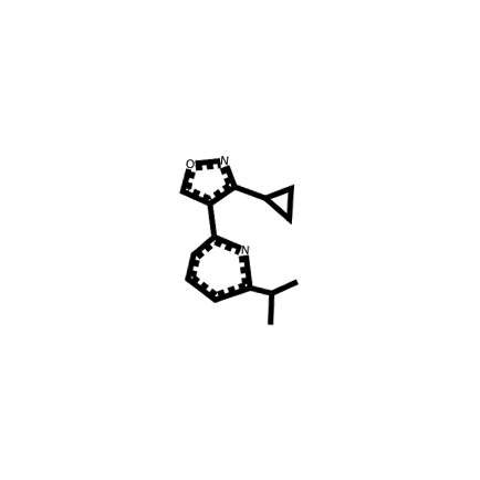 CC(C)c1cccc(-c2conc2C2CC2)n1